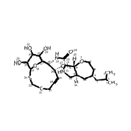 CC(C)C[C@@H]1CCO[C@@H]2[C@H](CN[C@@H]2C(=O)N[C@H]2C3OC(SCCC/C=C\[C@H]2C)C(O)C(O)C3O)C1